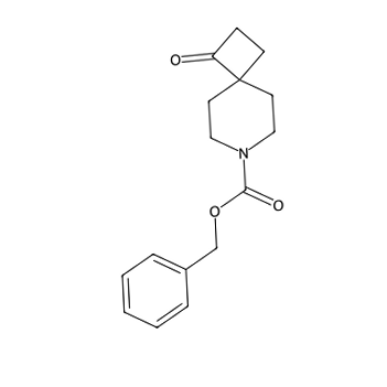 O=C(OCc1ccccc1)N1CCC2(CCC2=O)CC1